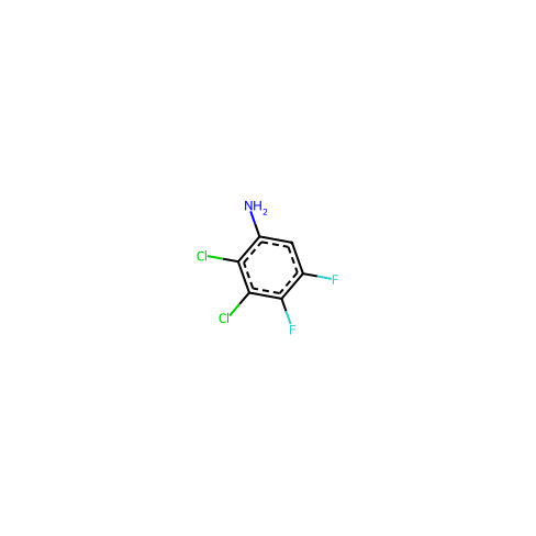 Nc1cc(F)c(F)c(Cl)c1Cl